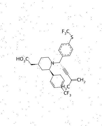 C=C(C)C#C[C@@H](c1ccc(SC(F)(F)F)cc1)N1CC[C@H](CC(=O)O)C[C@@H]1C1C=CC(C(F)(F)F)=CC1